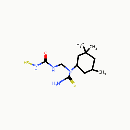 CC1CC(N(CNC(=O)NS)C(N)=S)CC(C)(C)C1